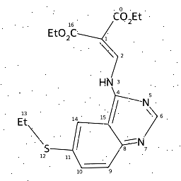 CCOC(=O)C(=CNc1ncnc2ccc(SCC)cc12)C(=O)OCC